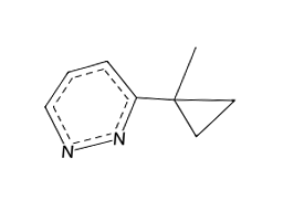 CC1(c2cccnn2)CC1